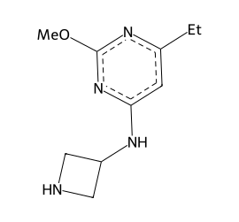 CCc1cc(NC2CNC2)nc(OC)n1